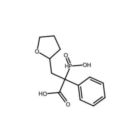 O=C(O)C(CC1CCCO1)(c1ccccc1)[PH](=O)O